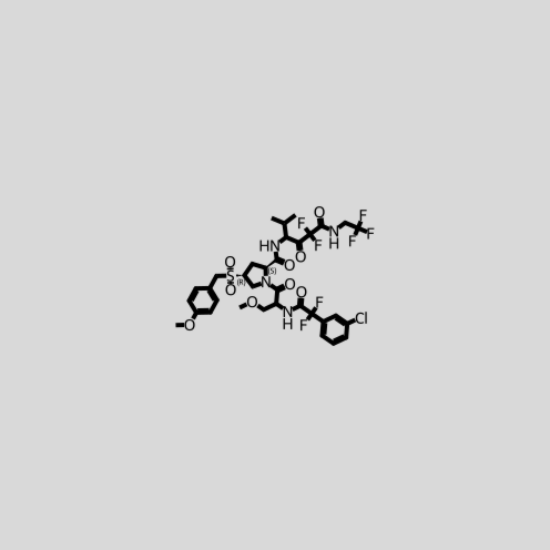 COCC(NC(=O)C(F)(F)c1cccc(Cl)c1)C(=O)N1C[C@H](S(=O)(=O)Cc2ccc(OC)cc2)C[C@H]1C(=O)NC(C(=O)C(F)(F)C(=O)NCC(F)(F)F)C(C)C